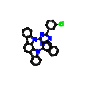 Clc1cccc(-c2nc(-c3ccccc3)nc(-n3c4ccccc4c4ccc5c6ccccc6n(-c6ccccc6)c5c43)n2)c1